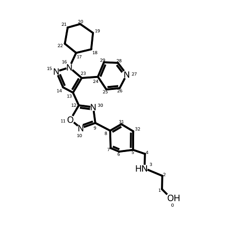 OCCNCc1ccc(-c2noc(-c3cnn(C4CCCCC4)c3-c3ccncc3)n2)cc1